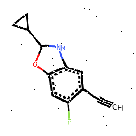 C#Cc1cc2c(cc1F)OC(C1CC1)N2